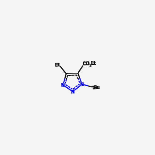 CCOC(=O)c1c(CC)nnn1C(C)(C)C